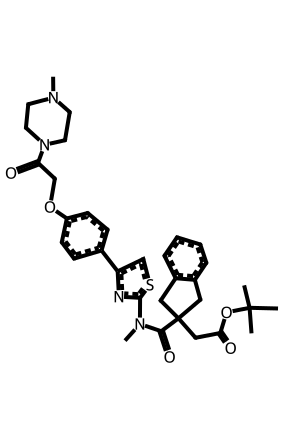 CN1CCN(C(=O)COc2ccc(-c3csc(N(C)C(=O)C4(CC(=O)OC(C)(C)C)Cc5ccccc5C4)n3)cc2)CC1